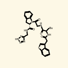 CCC(C)C(NC(=O)Cc1csc2ccccc12)C(=O)NCC(=O)N1c2ccccc2C[C@H]1C(=O)NCc1nn[nH]n1